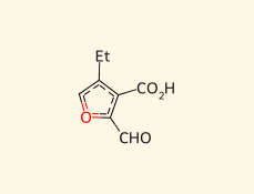 CCc1coc(C=O)c1C(=O)O